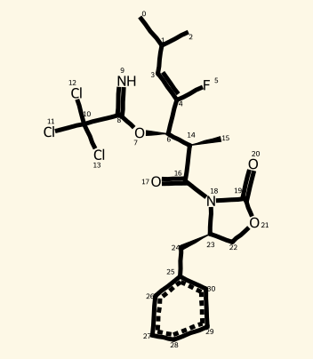 CC(C)/C=C(\F)[C@H](OC(=N)C(Cl)(Cl)Cl)[C@@H](C)C(=O)N1C(=O)OC[C@H]1Cc1ccccc1